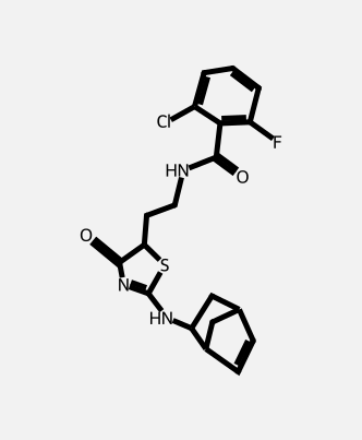 O=C(NCCC1SC(NC2CC3C=CC2C3)=NC1=O)c1c(F)cccc1Cl